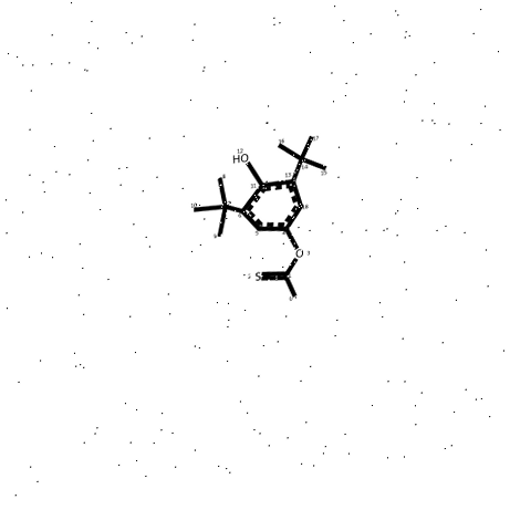 CC(=S)Oc1cc(C(C)(C)C)c(O)c(C(C)(C)C)c1